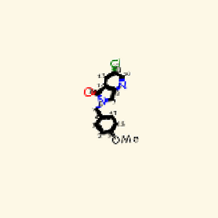 COc1ccc(CN2Cc3ncc(Cl)cc3C2=O)cc1